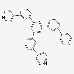 c1cc(-c2ccncc2)cc(-c2cc(-c3cccc(-c4ccncc4)c3)cc(-c3cccc(-c4ccncc4)c3)c2)c1